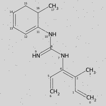 C=C/C(C)=C(\C=C)NC(=N)NC1=CC=CCC1C